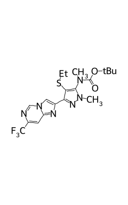 CCSc1c(-c2cn3cnc(C(F)(F)F)cc3n2)nn(C)c1N(C)C(=O)OC(C)(C)C